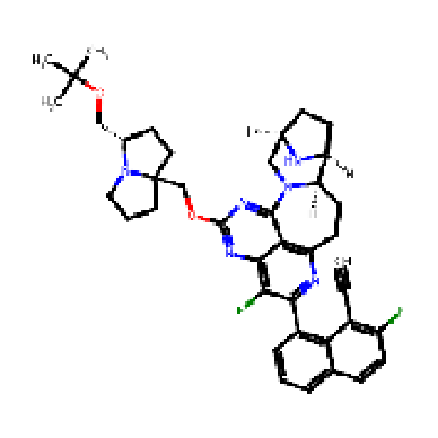 C#Cc1c(F)ccc2cccc(-c3nc4c5c(nc(OC[C@@]67CCCN6[C@H](COC(C)(C)C)CC7)nc5c3F)N3C[C@H]5CC[C@H](N5)[C@H]3CC4)c12